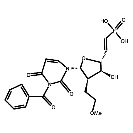 COCC[C@@H]1[C@H](O)[C@@H](/C=C/P(=O)(O)O)O[C@H]1n1ccc(=O)n(C(=O)c2ccccc2)c1=O